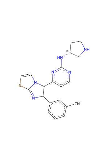 N#Cc1cccc(C2N=C3SC=CN3C2c2ccnc(N[C@@H]3CCNC3)n2)c1